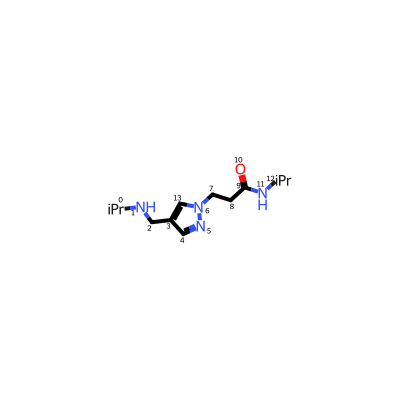 CC(C)NCc1cnn(CCC(=O)NC(C)C)c1